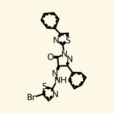 O=C1/C(=N/Nc2ncc(Br)s2)C(c2ccccc2)=NN1c1nc(-c2ccccc2)cs1